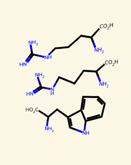 N=C(N)NCCCC(N)C(=O)O.N=C(N)NCCCC(N)C(=O)O.NC(Cc1c[nH]c2ccccc12)C(=O)O